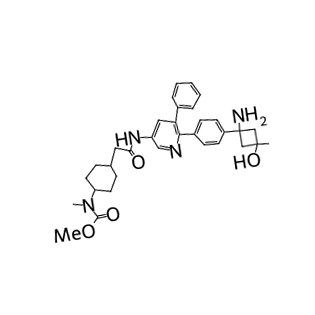 COC(=O)N(C)C1CCC(CC(=O)Nc2cnc(-c3ccc(C4(N)CC(C)(O)C4)cc3)c(-c3ccccc3)c2)CC1